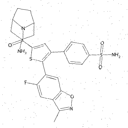 Cc1noc2cc(-c3sc(C(=O)N4C5CCC4CC(N)C5)cc3-c3ccc(S(N)(=O)=O)cc3)c(F)cc12